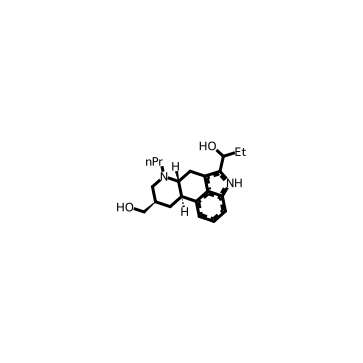 CCCN1C[C@H](CO)C[C@@H]2c3cccc4[nH]c(C(O)CC)c(c34)C[C@H]21